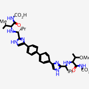 COC(C)C(NC(c1nc(-c2ccc(-c3ccc(-c4c[nH]c([C@H](N[C@H](C(=O)NC(=O)O)[C@@H](C)OC)C(C)C)n4)cc3)cc2)c[nH]1)C(C)C)C(=O)NC(=O)O